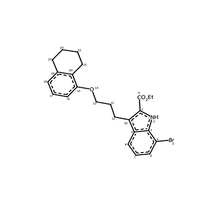 CCOC(=O)c1[nH]c2c(Br)cccc2c1CCCOc1cccc2c1CCCC2